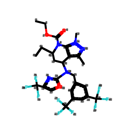 CCOC(=O)N1c2c(c(C)nn2C)C(N(Cc2cc(C(F)(F)F)cc(C(F)(F)F)c2)c2nc(C(F)(F)F)co2)CC1CC